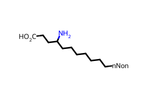 CCCCCCCCCCCCCCCCC(N)CCC(=O)O